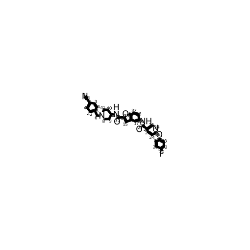 N#Cc1ccc(CN2CCC(NC(=O)c3cc4cc(NC(=O)c5ccc(Oc6ccc(F)cc6)nc5)ccc4o3)CC2)cc1